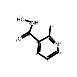 Cc1ncccc1C(=O)NO